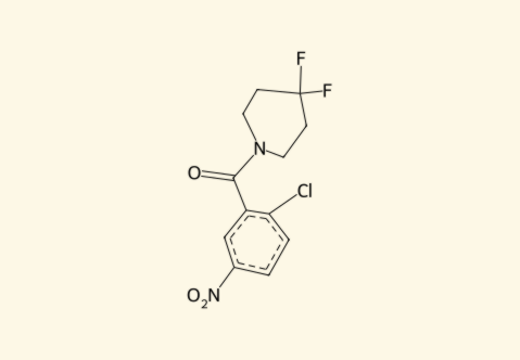 O=C(c1cc([N+](=O)[O-])ccc1Cl)N1CCC(F)(F)CC1